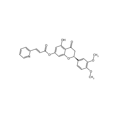 COc1ccc([C@@H]2CC(=O)c3c(O)cc(OC(=O)/C=C/c4ccccn4)cc3O2)cc1OC